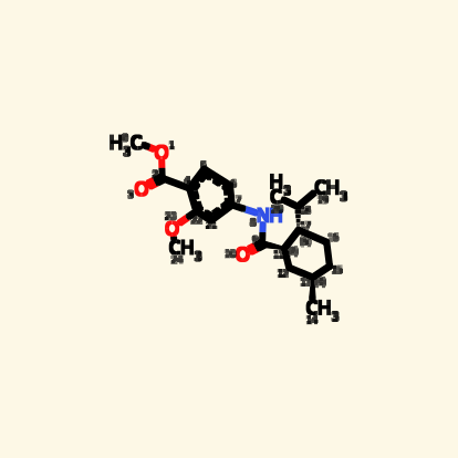 COC(=O)c1ccc(NC(=O)[C@@H]2C[C@H](C)CC[C@H]2C(C)C)cc1OC